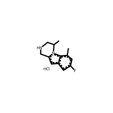 Cc1cc(F)cc2cc3n(c12)C(C)CNC3.Cl